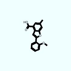 COc1ccccc1-c1cc2c(C(=O)O)cc(C)cc2o1